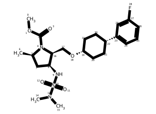 COC(=O)N1[C@H](C)C[C@H](NS(=O)(=O)N(C)C)[C@@H]1CO[C@H]1CC[C@@H](c2cccc(F)c2)CC1